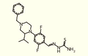 CC(C)C1CN(Cc2ccccc2)CCN1c1cc(F)c(/C=N/NC(N)=S)cc1F